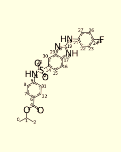 CC(C)OC(=O)c1ccc(NS(=O)(=O)c2ccc3[nH]c(Nc4ccc(F)cc4)nc3c2)cc1